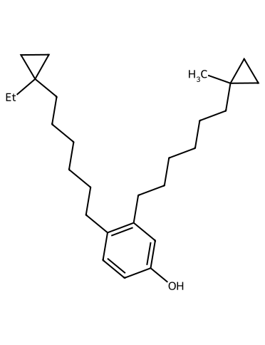 CCC1(CCCCCCc2ccc(O)cc2CCCCCCC2(C)CC2)CC1